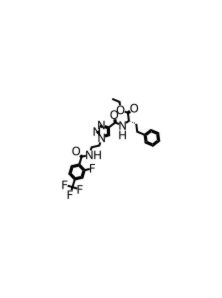 CCOC(=O)[C@H](CCc1ccccc1)NC(=O)c1cn(CCNC(=O)c2ccc(C(F)(F)F)cc2F)nn1